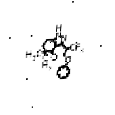 CC1(C)CCc2[nH]nc(C(COc3ccccc3)C(F)(F)F)c2C1=O